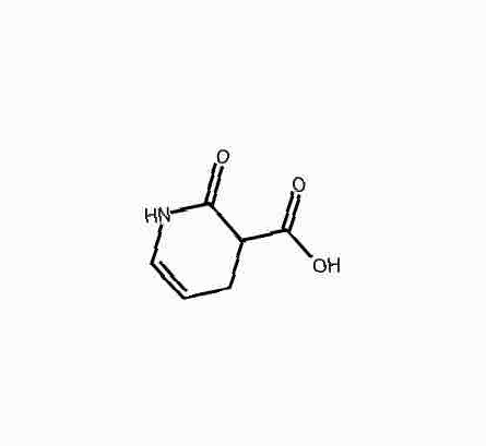 O=C(O)C1CC=CNC1=O